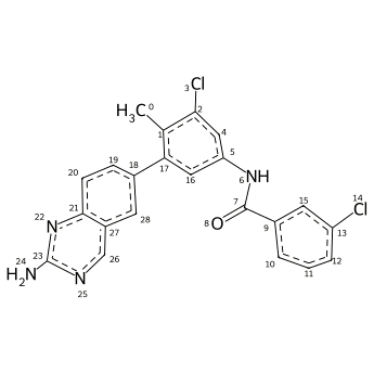 Cc1c(Cl)cc(NC(=O)c2cccc(Cl)c2)cc1-c1ccc2nc(N)ncc2c1